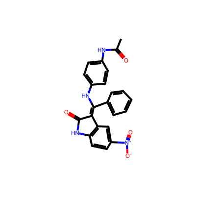 CC(=O)Nc1ccc(N/C(=C2\C(=O)Nc3ccc([N+](=O)[O-])cc32)c2ccccc2)cc1